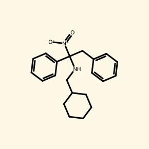 O=[N+]([O-])C(Cc1ccccc1)(NCC1CCCCC1)c1ccccc1